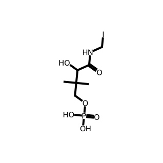 CC(C)(COP(=O)(O)O)C(O)C(=O)NCI